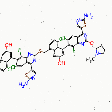 CN1CCC[C@H]1COc1nc(-c2cnc(N)s2)c2cc(Cl)c(-c3cc(O)cc4c(CSc5nc(-c6cnc(N)s6)c6cc(Cl)c(-c7cc(O)cc8cccc(Cl)c78)c(F)c6n5)ccc(Cl)c34)c(F)c2n1